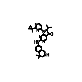 CC(C)n1c(=O)c2cnc(Nc3ccc4c(c3)CNCC4(C)C)nc2n1-c1ccnc(C2(C)CC2)n1